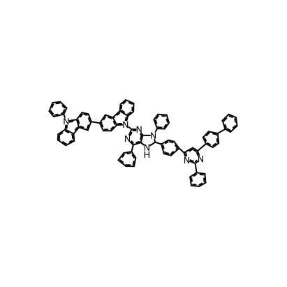 c1ccc(-c2ccc(-c3cc(-c4ccc(C5Nc6c(-c7ccccc7)nc(-n7c8ccccc8c8cc(-c9ccc%10c(c9)c9ccccc9n%10-c9ccccc9)ccc87)nc6N5c5ccccc5)cc4)nc(-c4ccccc4)n3)cc2)cc1